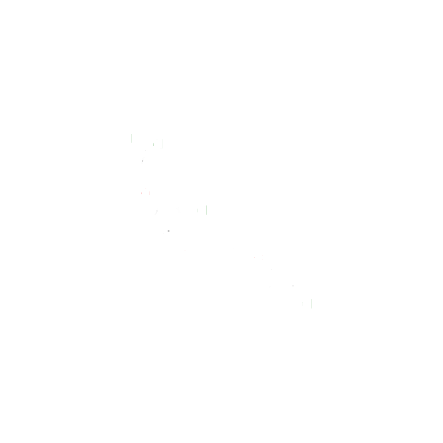 Cc1cc(OCC=C(F)Cl)cc(Cl)c1OCCCCOc1ccc(Cl)cc1